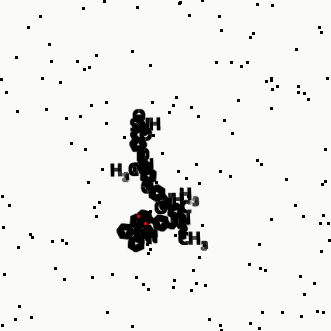 CCCc1nc2c(C)cc(C(=O)Nc3ccc(Oc4ccc5nc(COc6ccc(CC7SC(=O)NC7=O)cc6)n(C)c5c4)cc3)cc2n1Cc1ccc(-c2ccccc2-c2nnnn2C(c2ccccc2)(c2ccccc2)c2ccccc2)cc1